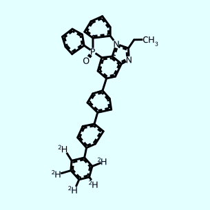 [2H]c1c([2H])c([2H])c(-c2ccc(-c3ccc(-c4cc5c6c(c4)nc(CC)n6-c4ccccc4P5(=O)c4ccccc4)cc3)cc2)c([2H])c1[2H]